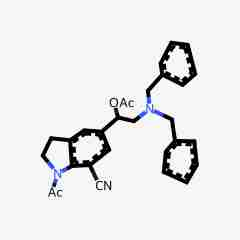 CC(=O)OC(CN(Cc1ccccc1)Cc1ccccc1)c1cc(C#N)c2c(c1)CCN2C(C)=O